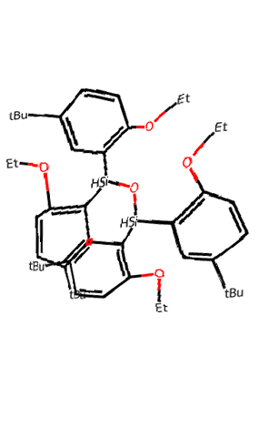 CCOc1ccc(C(C)(C)C)cc1[SiH](O[SiH](c1cc(C(C)(C)C)ccc1OCC)c1cc(C(C)(C)C)ccc1OCC)c1cc(C(C)(C)C)ccc1OCC